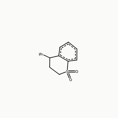 CC(C)C1CCS(=O)(=O)c2ccccc21